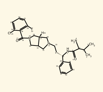 CC(C)C(N)C(=O)N[C@@H](CCN1CC2CN(C(=O)c3c(F)cccc3Cl)C[C@@H]2C1)c1ccccc1